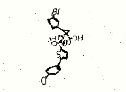 O=C(O)C1(NS(=O)(=O)c2ccc(-c3ccc(Cl)cc3)s2)CC1c1cccc(Br)c1